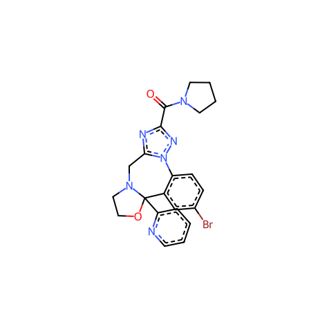 O=C(c1nc2n(n1)-c1ccc(Br)cc1C1(c3ccccn3)OCCN1C2)N1CCCC1